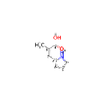 CC(=Cc1ccc[nH]1)C(=O)O